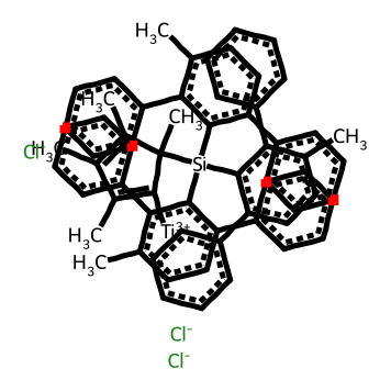 CC1=C(C)C(C)([Si](c2c(-c3ccccc3)ccc(C)c2-c2ccccc2)(c2c(-c3ccccc3)ccc(C)c2-c2ccccc2)c2c(-c3ccccc3)ccc(C)c2-c2ccccc2)[C]([Ti+3])=C1C.[Cl-].[Cl-].[Cl-]